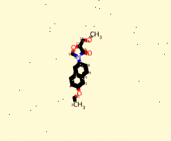 CCOc1ccc2cc(N3COC(COC)C3=O)ccc2c1